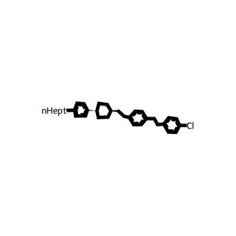 CCCCCCCc1ccc([C@H]2CC[C@H](CCc3ccc(CCc4ccc(Cl)cc4)cc3)CC2)cc1